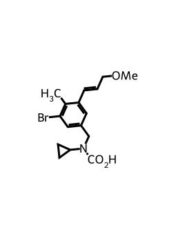 COC/C=C/c1cc(CN(C(=O)O)C2CC2)cc(Br)c1C